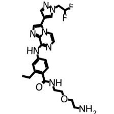 CCc1cc(Nc2nccn3c(-c4cnn(CC(F)F)c4)cnc23)ccc1C(=O)NCCOCCN